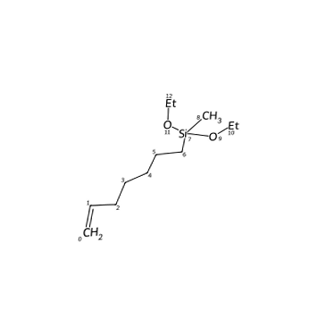 C=CCCCCC[Si](C)(OCC)OCC